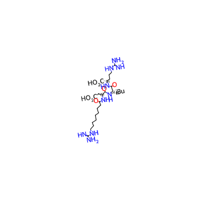 CC[C@H](C)[C@H](NC(=O)[C@H](CC(=O)O)NC(=O)CCCCCCCCNC(=N)N)C(=O)N[C@@H](CCCNC(=N)N)C(=O)O